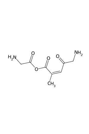 CC(=CC(=O)CN)C(=O)OC(=O)CN